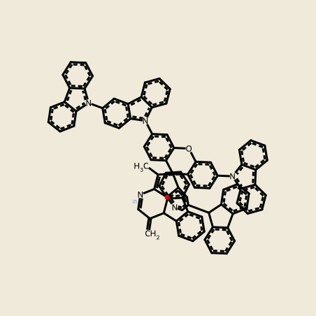 C=C(/C=N\C1=C(C)C2(c3ccc(-n4c5ccccc5c5ccccc54)cc3Oc3cc(-n4c5ccccc5c5cc(-n6c7ccccc7c7ccccc76)ccc54)ccc32)c2cc(C3c4ccccc4-c4ccccc43)cnc21)C1c2ccccc2-c2ccccc21